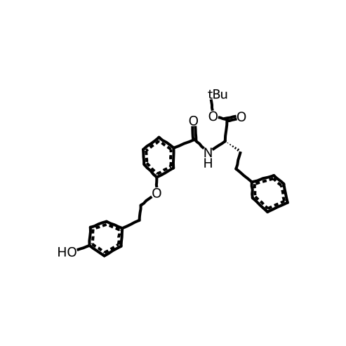 CC(C)(C)OC(=O)[C@H](CCc1ccccc1)NC(=O)c1cccc(OCCc2ccc(O)cc2)c1